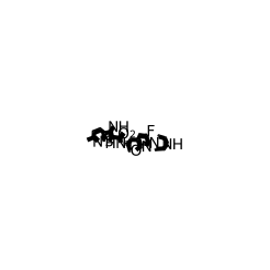 Cc1ccc2c(N)c(C(=O)N[C@H]3COc4nc(N5CCNCC5)c(F)cc4C3)sc2n1